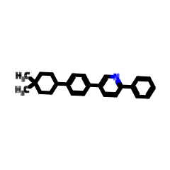 CC1(C)CCC(c2ccc(-c3ccc(-c4ccccc4)nc3)cc2)CC1